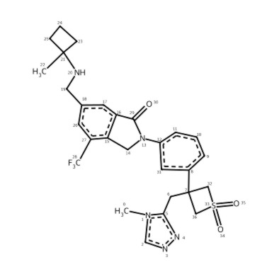 Cn1cnnc1CC1(c2cccc(N3Cc4c(cc(CNC5(C)CCC5)cc4C(F)(F)F)C3=O)c2)CS(=O)(=O)C1